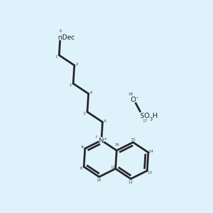 CCCCCCCCCCCCCCCC[n+]1cccc2ccccc21.O=S(=O)([O-])O